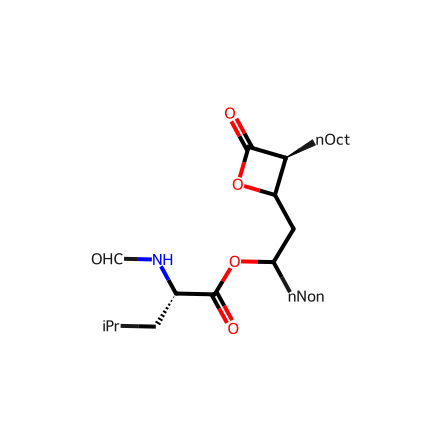 CCCCCCCCCC(CC1OC(=O)[C@H]1CCCCCCCC)OC(=O)[C@H](CC(C)C)NC=O